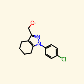 [O]Cc1nn(-c2ccc(Cl)cc2)c2c1CCCC2